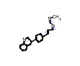 C\N=C/N=C\C=C\c1ccc(-c2cnc3ccccc3c2)cc1